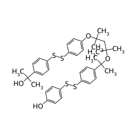 CC(C)(CC(C)(C)OC(C)(C)c1ccc(SSc2ccc(O)cc2)cc1)Oc1ccc(SSc2ccc(C(C)(C)O)cc2)cc1